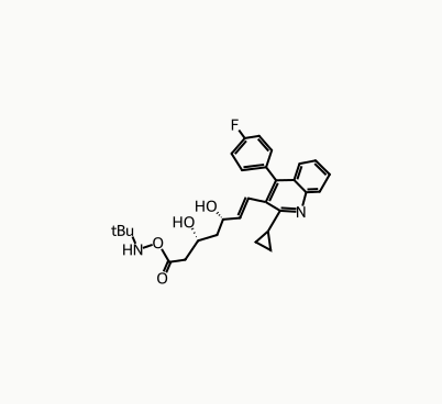 CC(C)(C)NOC(=O)C[C@H](O)C[C@H](O)/C=C/c1c(C2CC2)nc2ccccc2c1-c1ccc(F)cc1